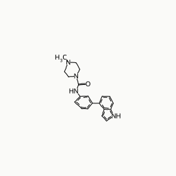 CN1CCN(C(=O)Nc2cccc(-c3cccc4[nH]ccc34)c2)CC1